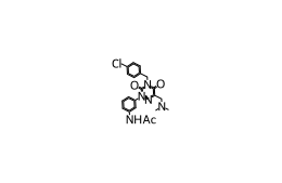 CC(=O)Nc1cccc(-n2nc(CN(C)C)c(=O)n(Cc3ccc(Cl)cc3)c2=O)c1